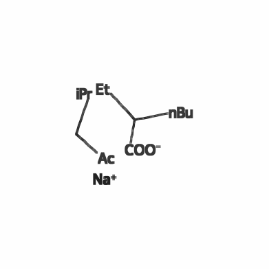 CC(=O)CC(C)C.CCCCC(CC)C(=O)[O-].[Na+]